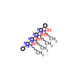 CCCCCC(O)c1nc(-c2cnc(-c3cnc(-c4cnc(-c5ccccc5)nc4C(O)CCCCC)nc3C(O)CCCCC)nc2C(O)CCCCC)ncc1-c1ccccc1